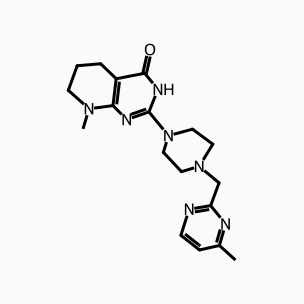 Cc1ccnc(CN2CCN(c3nc4c(c(=O)[nH]3)CCCN4C)CC2)n1